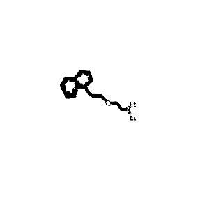 CCN(CC)CCOCCc1cccc2ccccc12